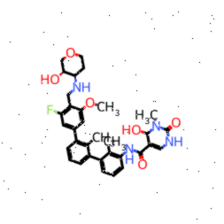 COc1cc(-c2cccc(-c3cccc(NC(=O)C4=CNC(=O)N(C)C4O)c3C)c2C)cc(F)c1CN[C@@H]1CCOC[C@@H]1O